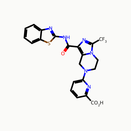 O=C(O)c1cccc(N2CCn3c(C(F)(F)F)nc(C(=O)Nc4nc5ccccc5s4)c3C2)n1